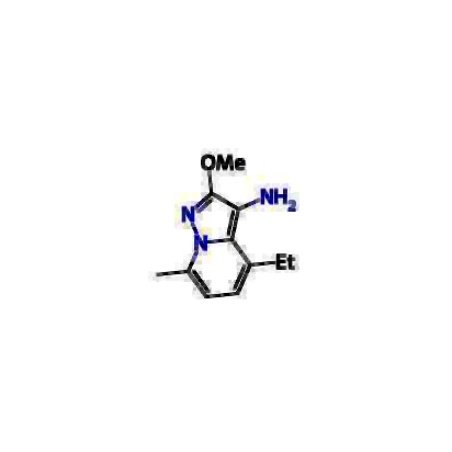 CCc1ccc(C)n2nc(OC)c(N)c12